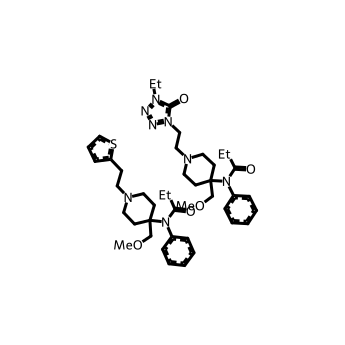 CCC(=O)N(c1ccccc1)C1(COC)CCN(CCc2cccs2)CC1.CCC(=O)N(c1ccccc1)C1(COC)CCN(CCn2nnn(CC)c2=O)CC1